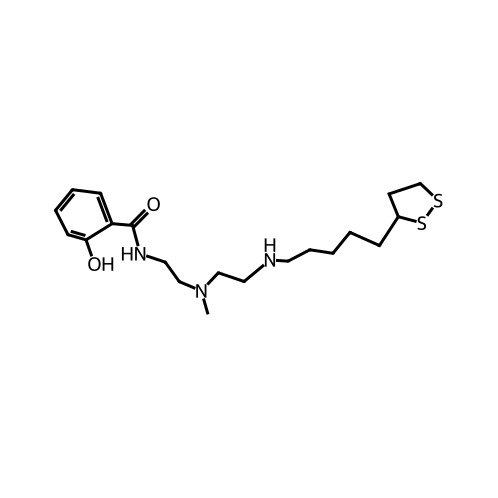 CN(CCNCCCCCC1CCSS1)CCNC(=O)c1ccccc1O